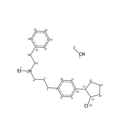 CC#N.CCN(CCCc1ccc(C2CCCC2Cl)cc1)CCc1ccccc1